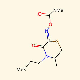 CNC(=O)ON=C1SCC(C)N(CCSC)C1=O